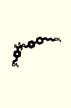 CCCCCC1CCC(c2ccc(COC(F)(F)C(F)c3ccc(CCC)cc3)cc2)CC1